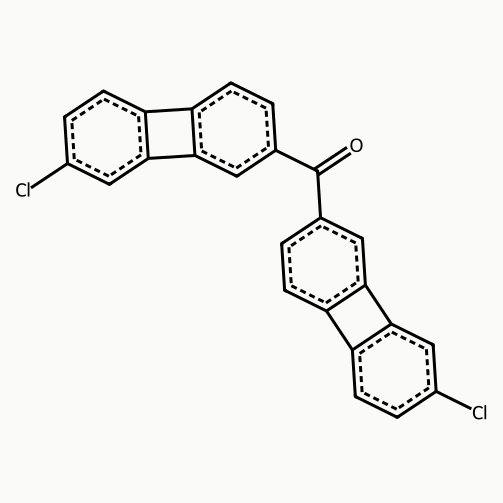 O=C(c1ccc2c(c1)-c1cc(Cl)ccc1-2)c1ccc2c(c1)-c1cc(Cl)ccc1-2